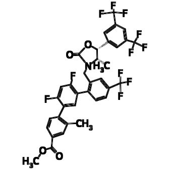 COC(=O)c1ccc(-c2cc(-c3ccc(C(F)(F)F)cc3CN3C(=O)O[C@H](c4cc(C(F)(F)F)cc(C(F)(F)F)c4)[C@@H]3C)c(F)cc2F)c(C)c1